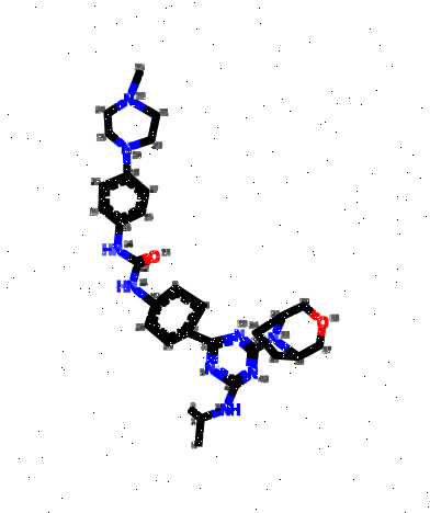 CC(C)Nc1nc(-c2ccc(NC(=O)Nc3ccc(N4CCN(C)CC4)cc3)cc2)nc(N2C3CCC2COC3)n1